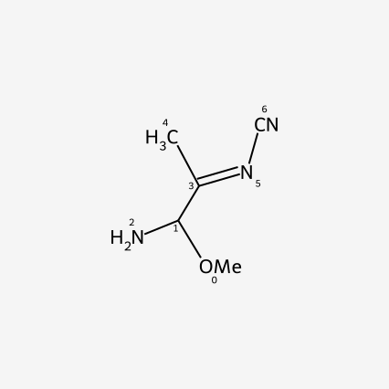 COC(N)C(C)=NC#N